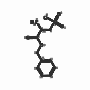 C[C@@H](CS(=O)(=O)Cl)C(=O)OCc1ccccc1